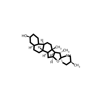 C[C@H]1CC[C@]2(NC1)O[C@H]1C[C@H]3[C@@H]4CC[C@H]5C[C@@H](O)CCC5[C@H]4CC[C@]3(C)[C@H]1[C@@H]2C